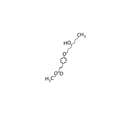 CCCCC(O)CCCOc1ccc(C=CC(=O)OCC)cc1